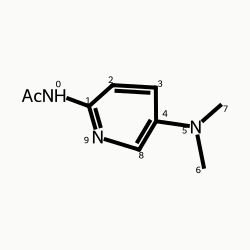 CC(=O)Nc1ccc(N(C)C)cn1